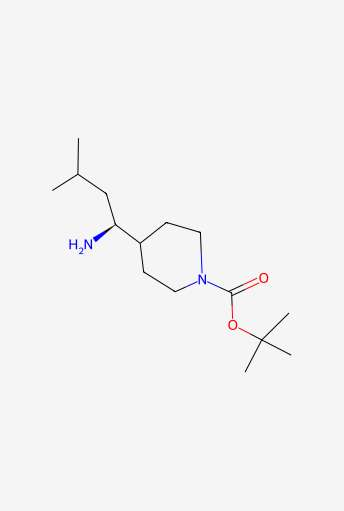 CC(C)C[C@H](N)C1CCN(C(=O)OC(C)(C)C)CC1